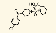 O=C(c1ccc(Cl)cc1)C1CCN(S(=O)(=O)N2CCCC[C@@H]2C(=O)O)CC1